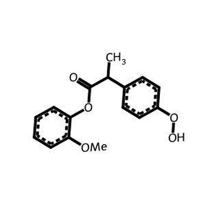 COc1ccccc1OC(=O)C(C)c1ccc(OO)cc1